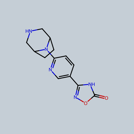 O=c1[nH]c(-c2ccc(N3C4CCC3CNC4)nc2)no1